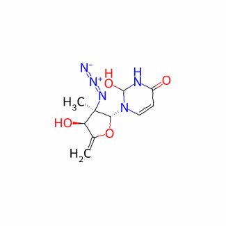 C=C1O[C@@H](N2C=CC(=O)NC2O)[C@](C)(N=[N+]=[N-])[C@@H]1O